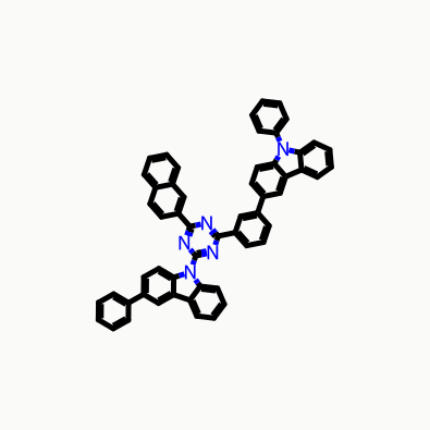 c1ccc(-c2ccc3c(c2)c2ccccc2n3-c2nc(-c3cccc(-c4ccc5c(c4)c4ccccc4n5-c4ccccc4)c3)nc(-c3ccc4ccccc4c3)n2)cc1